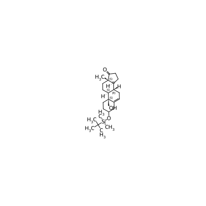 CC(C)(C)[Si](C)(C)OC1CC[C@@]2(CO)C(=CC[C@@H]3[C@@H]2CC[C@]2(C)C(=O)CC[C@@H]32)C1